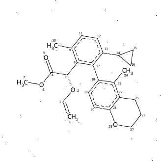 C=CO[C@H](C(=O)OC)c1c(C)ccc(C2CC2)c1-c1ccc2c(c1C)CCCO2